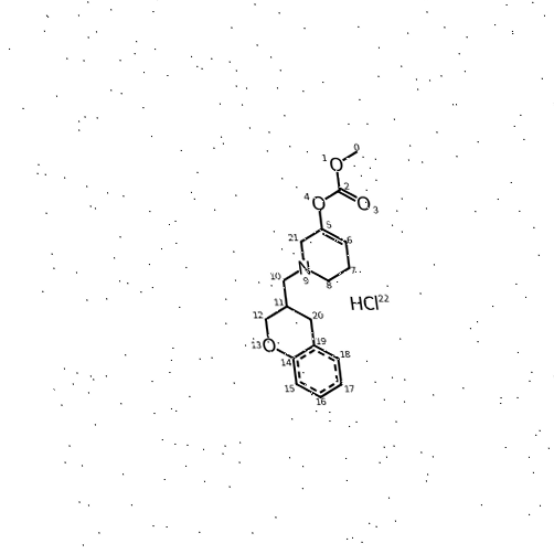 COC(=O)OC1=CCCN(CC2COc3ccccc3C2)C1.Cl